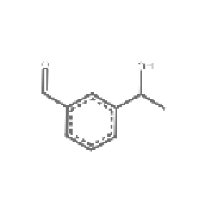 [CH2]C(O)c1cccc(C=O)c1